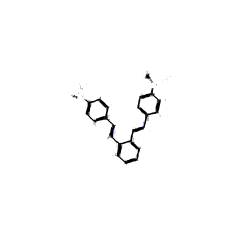 O=[N+]([O-])c1ccc(/C=C/c2ccccc2/C=C/c2ccc([N+](=O)[O-])cc2)cc1